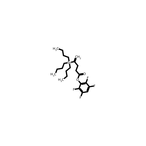 C=[C](CCC(=O)Oc1c(F)c(F)cc(F)c1F)[Sn]([CH2]CCC)([CH2]CCC)[CH2]CCC